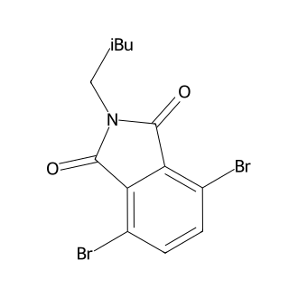 CCC(C)CN1C(=O)c2c(Br)ccc(Br)c2C1=O